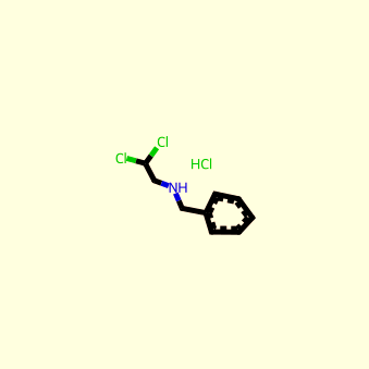 Cl.ClC(Cl)CNCc1ccccc1